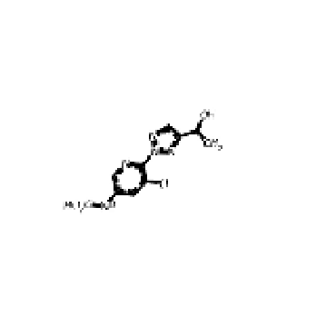 CC(O)c1cnn(-c2ncc(NC(=O)O)cc2Cl)n1